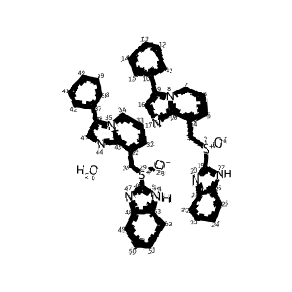 O.[O-][S+](Cc1cccn2c(-c3ccccc3)cnc12)c1nc2ccccc2[nH]1.[O-][S+](Cc1cccn2c(-c3ccccc3)cnc12)c1nc2ccccc2[nH]1